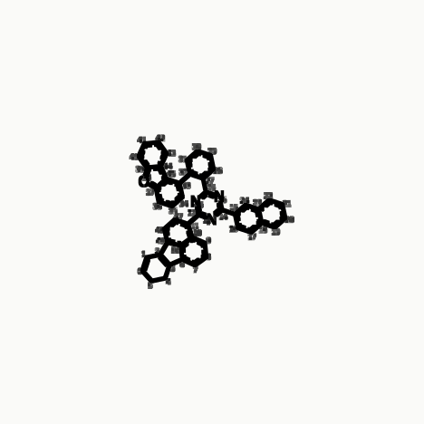 C1=CC2=C(CC1)c1cccc3c(-c4nc(-c5ccc6ccccc6c5)nc(-c5ccccc5-c5cccc6oc7ccccc7c56)n4)ccc2c13